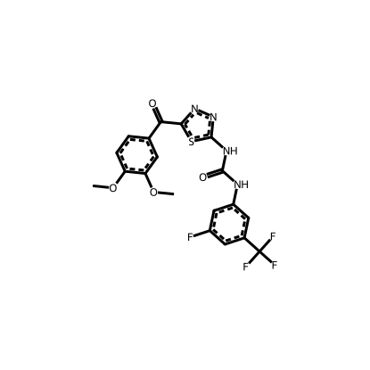 COc1ccc(C(=O)c2nnc(NC(=O)Nc3cc(F)cc(C(F)(F)F)c3)s2)cc1OC